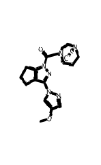 COc1cnn(-c2nn(C(=O)N3CCN4CCC3CC4)c3c2CCC3)c1